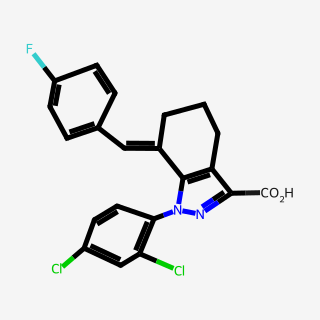 O=C(O)c1nn(-c2ccc(Cl)cc2Cl)c2c1CCC/C2=C\c1ccc(F)cc1